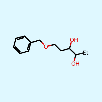 CCC(O)C(O)CCOCc1ccccc1